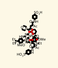 CCN(CC)c1cc(Nc2nc(Nc3cc(N(CC)CC)c(OC)cc3/N=N/c3nc(N4CCOCC4)c(/C=C(\C(C)=O)C(=O)Nc4ccc(S(=O)(=O)O)cc4)s3)nc(SC3CCCCC3)n2)c(/N=N/c2nc(N3CCOCC3)c(/C=C(/C(C)=O)C(=O)Nc3ccc(S(=O)(=O)O)cc3)s2)cc1OC